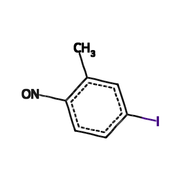 Cc1cc(I)ccc1N=O